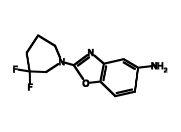 Nc1ccc2oc(N3CCCC(F)(F)C3)nc2c1